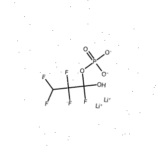 O=P([O-])([O-])OC(O)(F)C(F)(F)C(F)F.[Li+].[Li+]